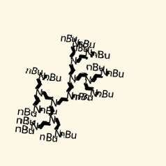 CCCCN(CCCC)CCCN(CCCN(CCCC)CCCC)CCCN(CCCN(CCC)CCCN(CCCN(CCCN(CCCC)CCCC)CCCN(CCCC)CCCC)CCCN(CCCN(CCCC)CCCC)CCCN(CCCC)CCCC)CCCN(CCCN(CCCC)CCCC)CCCN(CCCC)CCCC